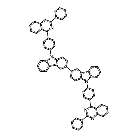 c1ccc(-c2cc3ccccc3c(-c3ccc(-n4c5ccccc5c5cc(-c6ccc7c(c6)c6ccccc6n7-c6ccc(-c7nc(-c8ccccc8)nc8ccccc78)cc6)ccc54)cc3)n2)cc1